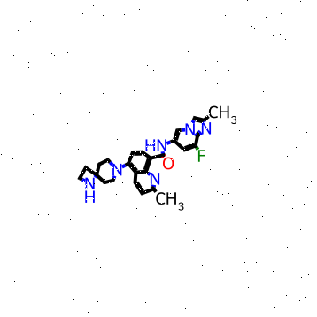 Cc1ccc2c(N3CCC4(CCN4)CC3)ccc(C(=O)Nc3cc(F)c4nc(C)cn4c3)c2n1